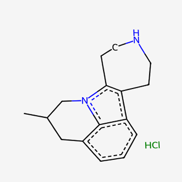 CC1Cc2cccc3c4c(n(c23)C1)CCNCC4.Cl